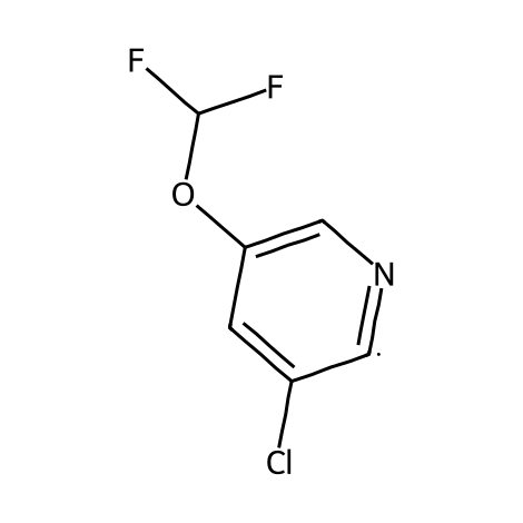 FC(F)Oc1cn[c]c(Cl)c1